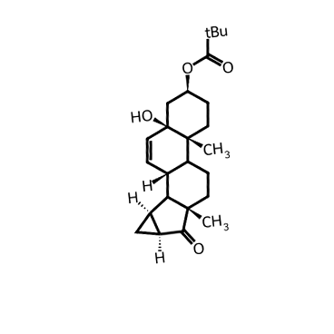 CC(C)(C)C(=O)O[C@H]1CC[C@]2(C)C3CC[C@]4(C)C(=O)[C@H]5C[C@H]5C4[C@@H]3C=C[C@]2(O)C1